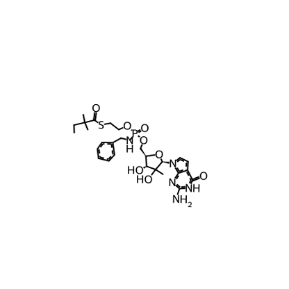 CCC(C)(C)C(=O)SCCOP(=O)(NCc1ccccc1)OC[C@H]1O[C@@H](n2ccc3c(=O)[nH]c(N)nc32)C(C)(O)[C@H]1O